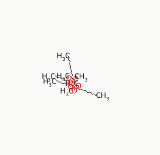 CCCCCCCCCCC(OC)=C(OC)C(OCCCCCCCC)OC(OCCCCCCCC)C(OC)=C(CCCCCCCCCC)OC